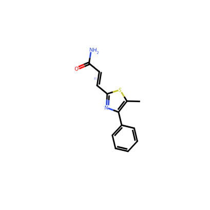 Cc1sc(/C=C/C(N)=O)nc1-c1ccccc1